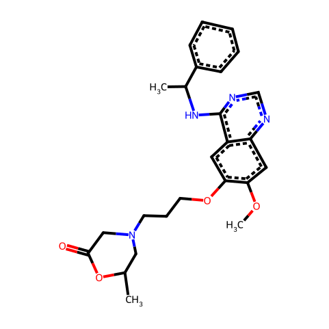 COc1cc2ncnc(NC(C)c3ccccc3)c2cc1OCCCN1CC(=O)OC(C)C1